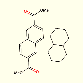 C1CCC2CCCCC2C1.COC(=O)c1ccc2cc(C(=O)OC)ccc2c1